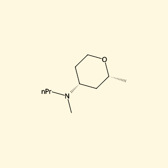 CCCN(C)[C@@H]1CCO[C@H](C)C1